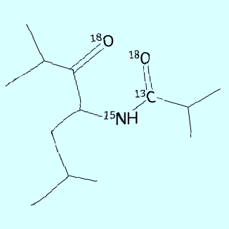 CC(C)CC([15NH][13C](=[18O])C(C)C)C(=[18O])C(C)C